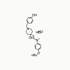 CCCCOc1ccc(N(C)CCC2(O)CCN(Cc3ccc(O)cc3)CC2)cc1.Cl.Cl